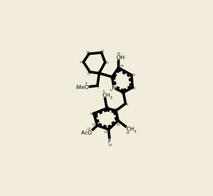 COCC1(c2nc(Cc3c(C)cc(OC(C)=O)c(F)c3C)ccc2O)CCCCC1